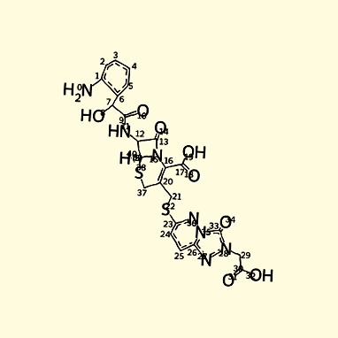 Nc1ccccc1C(O)C(=O)NC1C(=O)N2C(C(=O)O)=C(CSc3ccc4nn(CC(=O)O)c(=O)n4n3)CS[C@@H]12